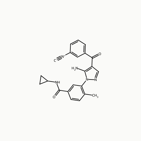 [C-]#[N+]c1cccc(C(=O)c2cnn(-c3cc(C(=O)NC4CC4)ccc3C)c2N)c1